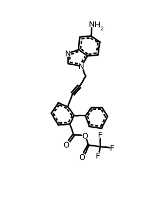 Nc1ccc2c(c1)ncn2CC#Cc1cccc(C(=O)OC(=O)C(F)(F)F)c1-c1ccccc1